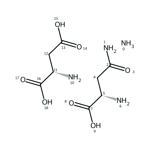 N.NC(=O)C[C@H](N)C(=O)O.N[C@@H](CC(=O)O)C(=O)O